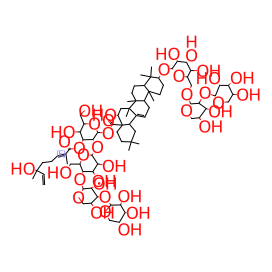 C=CC(C)(O)CC/C=C(\C)C(=O)OC1C(O)C(CO)OC(OC(=O)C23CCC(C)(C)CC2C2=CCC4C5(C)CCC(OC6OC(COC7OCC(O)C(O)C7OC7OCC(O)C(O)C7O)C(O)C(O)C6O)C(C)(C)C5CCC4(C)C2(C)CC3O)C1OC1OC(CO)C(OC2OCC(O)C(OC3OCC(O)C(O)C3O)C2O)C(O)C1O